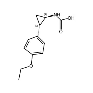 CCOc1ccc([C@@H]2C[C@H]2NC(=O)O)cc1